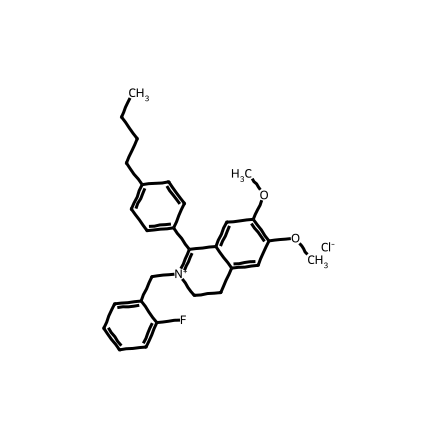 CCCCc1ccc(C2=[N+](Cc3ccccc3F)CCc3cc(OC)c(OC)cc32)cc1.[Cl-]